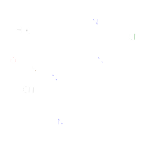 CC(c1cnc(Cl)nc1)S(C)(=O)=NC#N